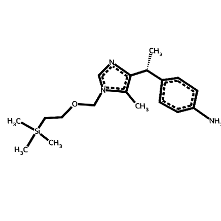 Cc1c([C@H](C)c2ccc(N)cc2)ncn1COCC[Si](C)(C)C